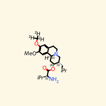 [2H]C([2H])([2H])Oc1cc2c(cc1OC)[C@@H]1C[C@@H](OC(=O)[C@@H](N)C(C)C)[C@@H](CC(C)C)CN1CC2